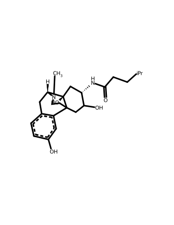 CC(C)CCC(=O)N[C@H]1C[C@@]2(O)[C@H]3Cc4ccc(O)cc4C2(CCN3C)CC1O